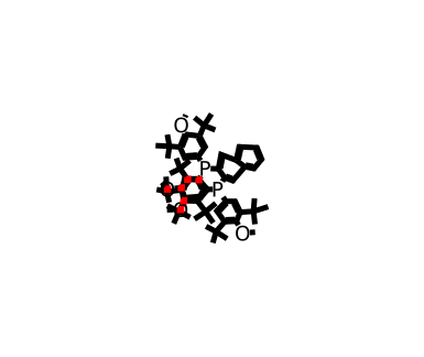 COc1c(C(C)(C)C)cc(P(c2cc(C(C)(C)C)c(OC)c(C(C)(C)C)c2)c2cc3ccccc3cc2P(c2cc(C(C)(C)C)c(OC)c(C(C)(C)C)c2)c2cc(C(C)(C)C)c(OC)c(C(C)(C)C)c2)cc1C(C)(C)C